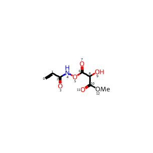 C=CC(=O)NOC(=O)C(O)C(=O)OC